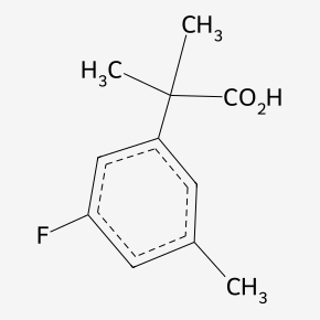 Cc1cc(F)cc(C(C)(C)C(=O)O)c1